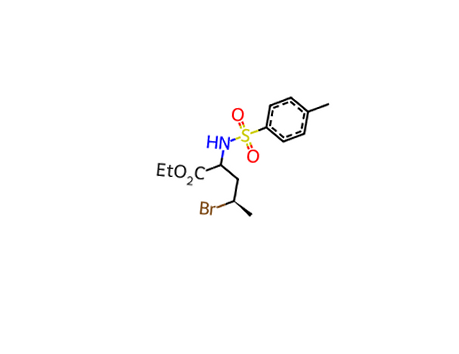 CCOC(=O)C(C[C@@H](C)Br)NS(=O)(=O)c1ccc(C)cc1